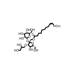 CCCCCCCC/C=C\CCCCCCCC(=O)OC[C@@]1(O[C@H]2O[C@H](CO)[C@@H](O)[C@H](O)[C@H]2O)O[C@H](CO)[C@@H](O)[C@@H]1OCC(O)CO